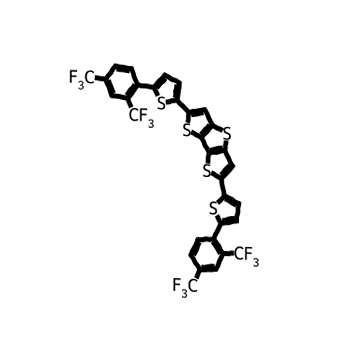 FC(F)(F)c1ccc(-c2ccc(-c3cc4sc5cc(-c6ccc(-c7ccc(C(F)(F)F)cc7C(F)(F)F)s6)sc5c4s3)s2)c(C(F)(F)F)c1